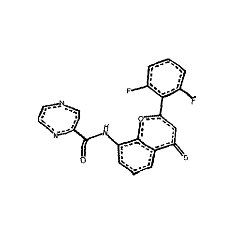 O=C(Nc1cccc2c(=O)cc(-c3c(F)cccc3F)oc12)c1cnccn1